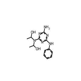 CC(O)N(c1nc(N)nc(Nc2ccccc2)n1)C(C)O